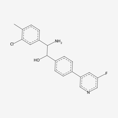 Cc1ccc(C(N)C(O)c2ccc(-c3cncc(F)c3)cc2)cc1Cl